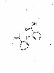 O=C(O)c1ccccc1Oc1ccccc1[N+](=O)[O-]